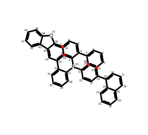 c1ccc(-c2ccccc2N(c2ccc(-c3cccc4ccccc34)cc2)c2ccccc2-c2ccc3oc4ccccc4c3c2)cc1